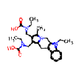 CCN(Cc1c(CN(CC)C(=O)O)c2n(c1C)Cc1c(c3ccccc3n1CC)C2)C(=O)O